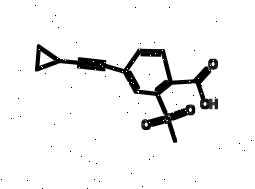 CS(=O)(=O)c1cc(C#CC2CC2)ccc1C(=O)O